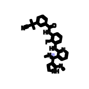 C=Nc1[nH]ccc1/C(=N\C)c1cccnc1Nc1cccc(NC(=O)c2cccc(C(C)(C)C#N)c2)c1F